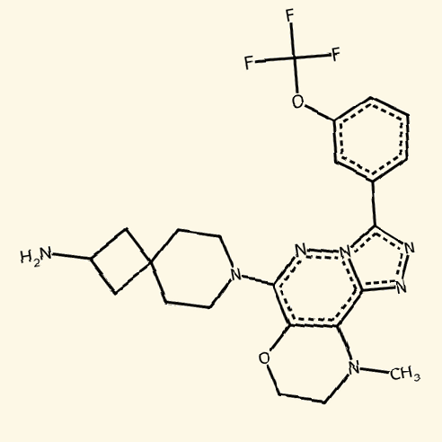 CN1CCOc2c(N3CCC4(CC3)CC(N)C4)nn3c(-c4cccc(OC(F)(F)F)c4)nnc3c21